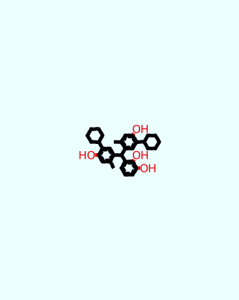 Cc1cc(O)c(C2CCCCC2)cc1C(c1cc(C2CCCCC2)c(O)cc1C)c1cccc(O)c1O